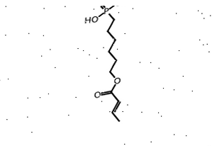 CC=CC(=O)OCCCCCCP(=O)(O)O